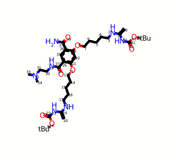 C=C(NCCCCCOc1cc(OCCCCCNC(=C)NC(=O)OC(C)(C)C)c(C(=O)NCCN(C)C)cc1C(N)=O)NC(=O)OC(C)(C)C